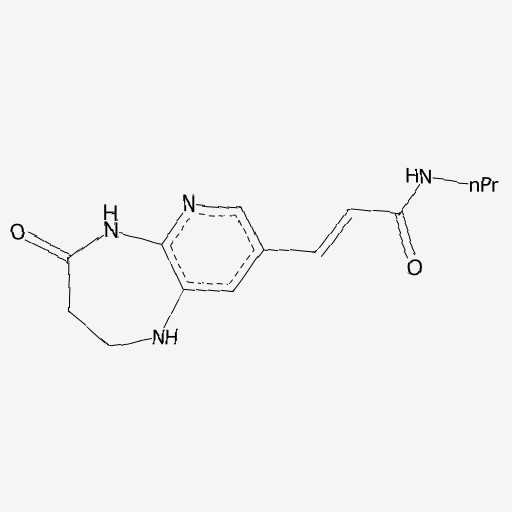 CCCNC(=O)/C=C/c1cnc2c(c1)NCCC(=O)N2